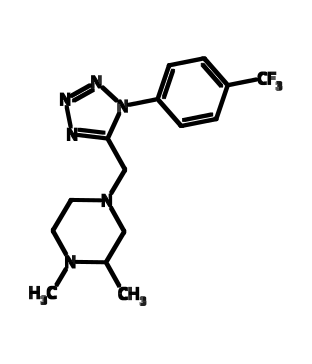 CC1CN(Cc2nnnn2-c2ccc(C(F)(F)F)cc2)CCN1C